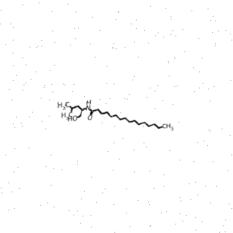 CCCCCCCCCCCCCCCC(=O)N[C@@H](CO)CC(C)C